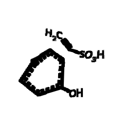 C=CS(=O)(=O)O.Oc1ccccc1